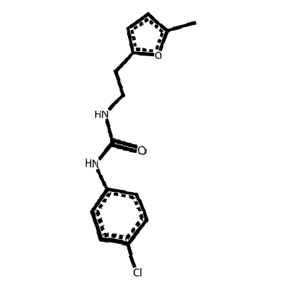 Cc1ccc(CCNC(=O)Nc2ccc(Cl)cc2)o1